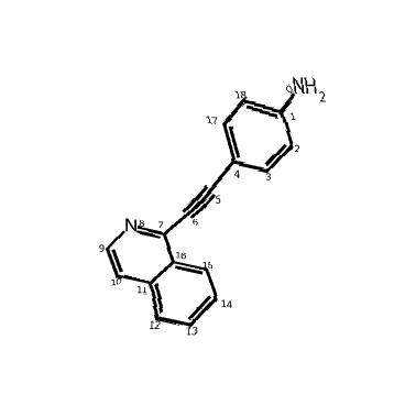 Nc1ccc(C#Cc2nccc3ccccc23)cc1